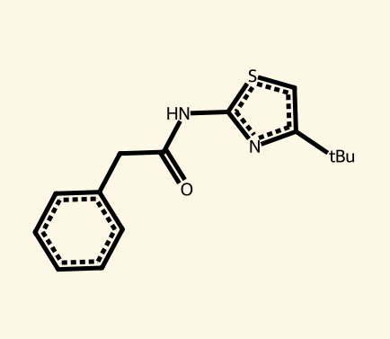 CC(C)(C)c1csc(NC(=O)Cc2ccccc2)n1